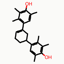 Cc1cc(C2=CCCC(c3cc(C)c(O)c(C)c3C)C2)c(C)c(C)c1O